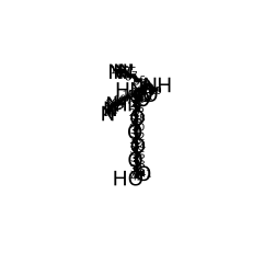 CC(=O)N[C@@H](CCCCN=[N+]=[N-])C(=O)N[C@@H](CCCCN=[N+]=[N-])C(=O)NCCOCCOCCOCCOCCC(=O)O